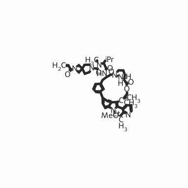 C=CC(=O)N1CC2(CCN(C(=O)N(C)C(C(=O)N[C@H]3Cc4cccc(c4)-c4ccc5c(c4)c(c(-c4cccnc4[C@H](C)OC)n5CC)CC(C)(C)COC(=O)[C@@H]4CCCN(N4)C3=O)C(C)C)CC2)C1